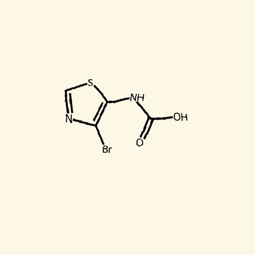 O=C(O)Nc1scnc1Br